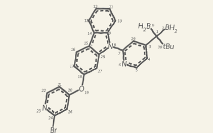 BC(B)(c1ccnc(-n2c3ccccc3c3ccc(Oc4ccnc(Br)c4)cc32)c1)C(C)(C)C